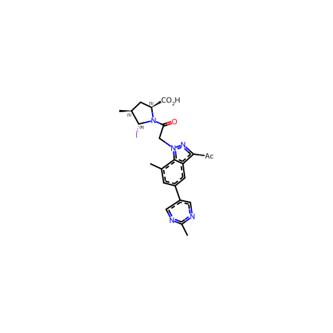 CC(=O)c1nn(CC(=O)N2[C@H](I)[C@@H](C)C[C@H]2C(=O)O)c2c(C)cc(-c3cnc(C)nc3)cc12